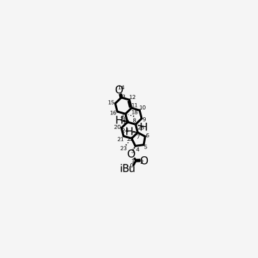 CCC(C)C(=O)O[C@H]1CC[C@H]2[C@@H]3CCC4=CC(=O)CC[C@]4(C)[C@H]3CC[C@]12C